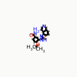 CC(C)Oc1ccc(C(N)=O)cc1Nc1nc2c(ccc3cnccc32)s1